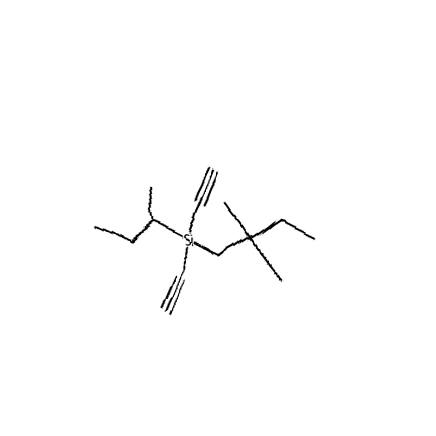 C#C[Si](C#C)(CC(C)(C)CC)C(C)CC